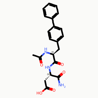 CC(=O)N[C@@H](Cc1ccc(-c2ccccc2)cc1)C(=O)N[C@@H](CC(=O)O)C(N)=O